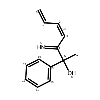 C=C/C=C\C(=N)C(C)(O)c1ccccc1